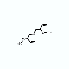 C=CC(COCC(C=C)OCCCC)OCCCC